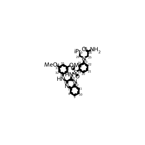 COc1cc(Nc2nc3ccccc3nc2NS(=O)(=O)c2cccc(N(CC(N)=O)CC(C)C)c2)cc(OC)c1